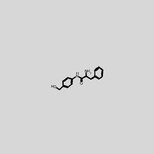 NC(Cc1ccccc1)C(=O)Nc1ccc(CO)cc1